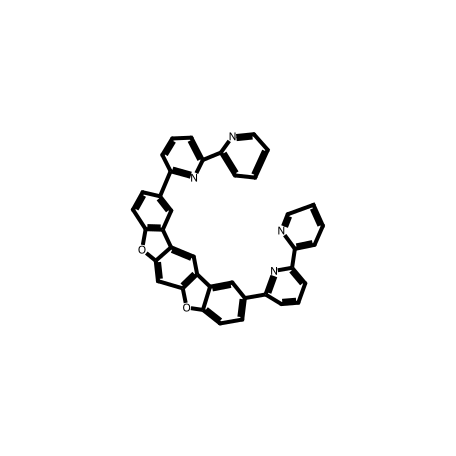 c1ccc(-c2cccc(-c3ccc4oc5cc6oc7ccc(-c8cccc(-c9ccccn9)n8)cc7c6cc5c4c3)n2)nc1